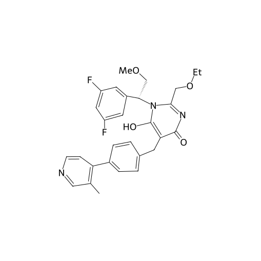 CCOCc1nc(=O)c(Cc2ccc(-c3ccncc3C)cc2)c(O)n1[C@@H](COC)c1cc(F)cc(F)c1